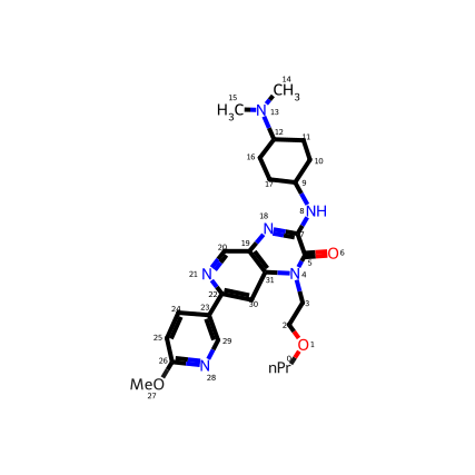 CCCOCCn1c(=O)c(NC2CCC(N(C)C)CC2)nc2cnc(-c3ccc(OC)nc3)cc21